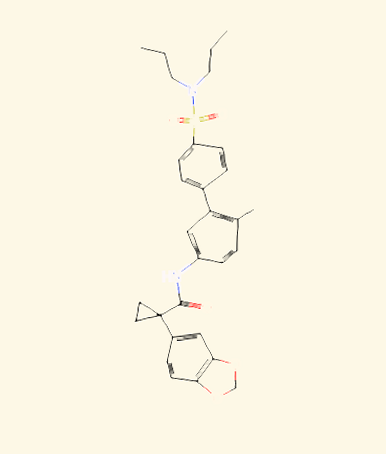 CCCN(CCC)S(=O)(=O)c1ccc(-c2cc(NC(=O)C3(c4ccc5c(c4)OCO5)CC3)ccc2C)cc1